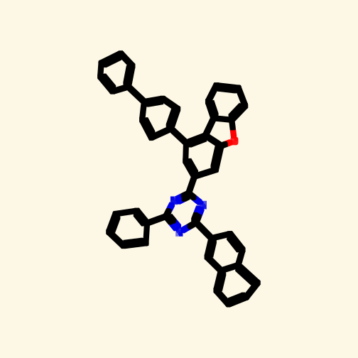 c1ccc(-c2ccc(-c3cc(-c4nc(-c5ccccc5)nc(-c5ccc6ccccc6c5)n4)cc4oc5ccccc5c34)cc2)cc1